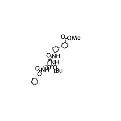 COC(=O)c1cccc(-c2cccc(NC(=O)[C@H](CCCNC(=O)OCc3ccccc3)NC(=O)OC(C)(C)C)c2)c1